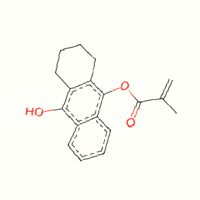 C=C(C)C(=O)Oc1c2c(c(O)c3ccccc13)CCCC2